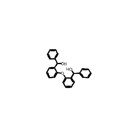 OC(c1ccccc1)c1ccccc1Oc1ccccc1C(O)c1ccccc1